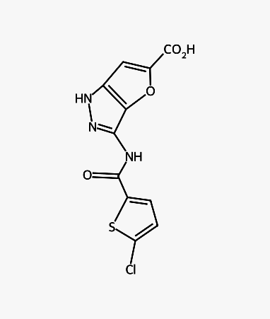 O=C(O)c1cc2[nH]nc(NC(=O)c3ccc(Cl)s3)c2o1